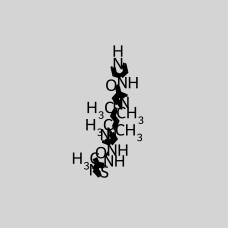 Cc1ncsc1NC(=O)Nc1cnn(C(C)(C)CCC(C)(C)n2cc(C(=O)NC3CCNCC3)cn2)c1